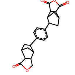 O=C1OCC2C3CC(CC3c3ccc(C4CC5CC4C4C(=O)OC(=O)C54)cc3)C12